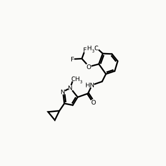 Cc1cccc(CNC(=O)c2cc(C3CC3)nn2C)c1OC(F)F